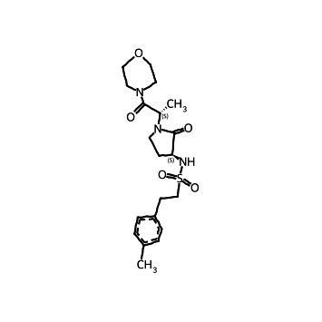 Cc1ccc(CCS(=O)(=O)N[C@H]2CCN([C@@H](C)C(=O)N3CCOCC3)C2=O)cc1